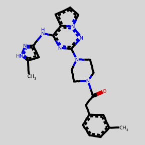 Cc1cccc(CC(=O)N2CCN(c3nc(Nc4cc(C)[nH]n4)c4cccn4n3)CC2)c1